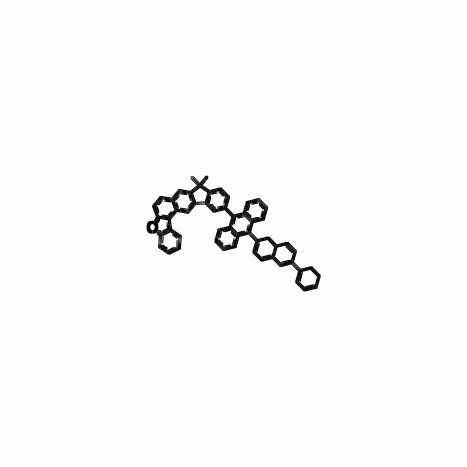 CC1(C)c2ccc(-c3c4ccccc4c(C4=CC=C5C=C(C6=CC=CCC6)C=CC5C4)c4ccccc34)cc2-c2cc3c(ccc4oc5ccccc5c43)cc21